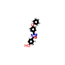 Oc1ccc(-c2nc(-c3ccc(Oc4ccccc4)cc3)no2)cc1